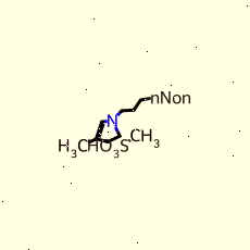 CCCCCCCCCCCCN1C=C(C)CC1.CS(=O)(=O)O